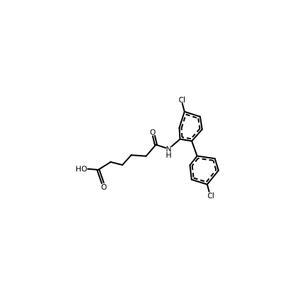 O=C(O)CCCCC(=O)Nc1cc(Cl)ccc1-c1ccc(Cl)cc1